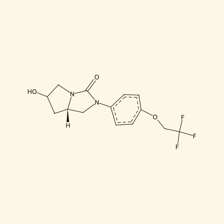 O=C1N(c2ccc(OCC(F)(F)F)cc2)C[C@@H]2CC(O)CN12